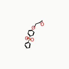 O=S(=O)(c1ccccc1)c1ccc(OCCC2CO2)cc1